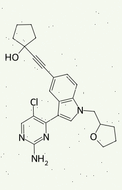 Nc1ncc(Cl)c(-c2cn(CC3CCCO3)c3ccc(C#CC4(O)CCCC4)cc23)n1